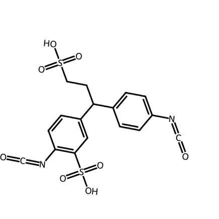 O=C=Nc1ccc(C(CCS(=O)(=O)O)c2ccc(N=C=O)c(S(=O)(=O)O)c2)cc1